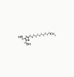 CCCCCCCCCCCCc1cc(CO)c(CO)s1